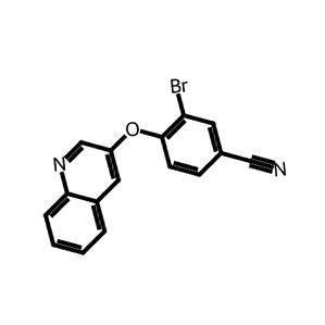 N#Cc1ccc(Oc2cnc3ccccc3c2)c(Br)c1